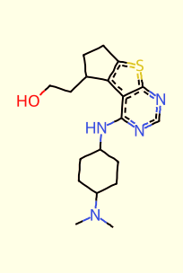 CN(C)C1CCC(Nc2ncnc3sc4c(c23)C(CCO)CC4)CC1